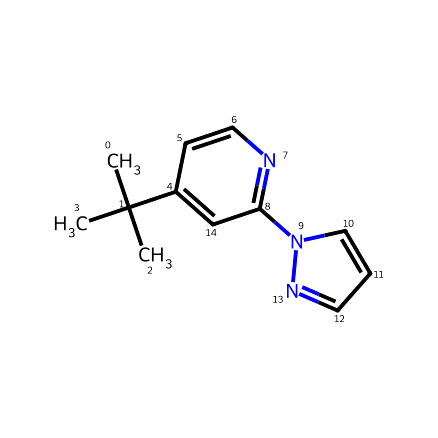 CC(C)(C)c1ccnc(-n2cccn2)c1